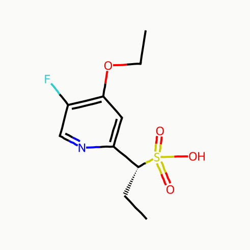 CCOc1cc([C@@H](CC)S(=O)(=O)O)ncc1F